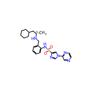 C[C@@H](CC1CCCCC1)NCc1ccccc1NS(=O)(=O)c1cn(-c2cnccn2)cn1